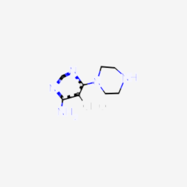 Nc1ncnc(N2CCNCC2)c1C=O